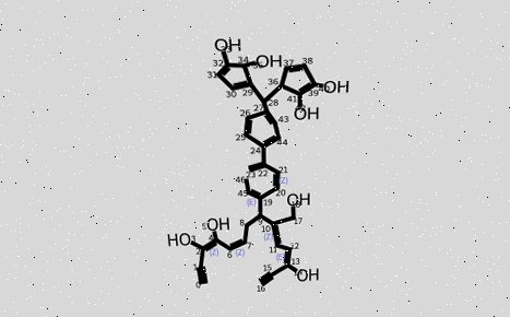 C#C/C(O)=C(O)\C=C/CC(/C(=C/C=C(/O)C#C)CO)C(/C=C\C(=C)c1ccc(C(C2=CC=C(O)C2O)C2C=CC(O)=C2O)cc1)=C/C